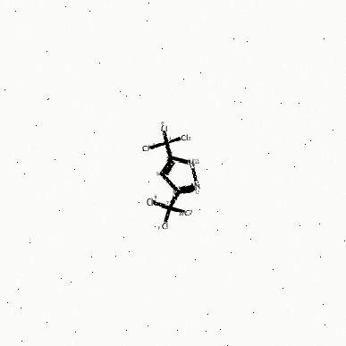 ClC(Cl)(Cl)C1=CC(C(Cl)(Cl)Cl)=N[N]1